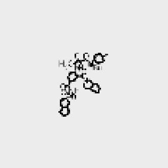 CCCCN(C(=O)c1nn(-c2ccc(C(=O)NS(=O)(=O)c3ccc4ccccc4c3)cc2C(=O)N2CCc3ccccc3C2)c(C)c1Cl)c1ccc(I)cc1